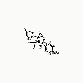 Cc1cnc(C2(N(C(C)C)S(=O)(=O)c3ccc(Br)cc3)CC2)o1